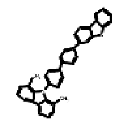 Cc1cccc2c3cccc(C)c3n(-c3ccc(-c4ccc(-c5ccc6c(c5)sc5ccccc56)cc4)cc3)c12